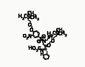 CC(C)CN(C[C@@H](OCOCC[Si](C)(C)C)[C@H](Cc1ccccc1)NC(=O)O)S(=O)(=O)c1ccc(OCOCC[Si](C)(C)C)c([N+](=O)[O-])c1